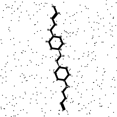 C=CCCO[C@H]1CC[C@H](CC[C@H]2CC[C@H](CC/C=C/C)CC2)CC1